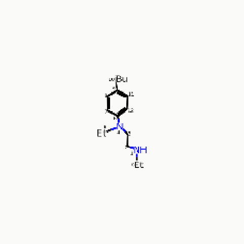 CCNCCN(CC)c1ccc(C(C)CC)cc1